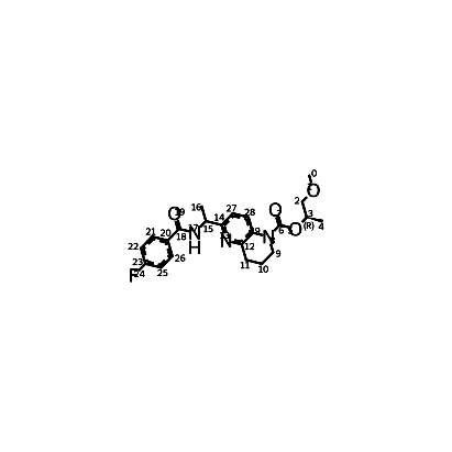 COC[C@@H](C)OC(=O)N1CCCc2nc(C(C)NC(=O)c3ccc(F)cc3)ccc21